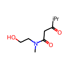 CC(C)C(=O)CC(=O)N(C)CCO